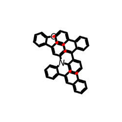 c1ccc(N(c2ccc3oc4ccccc4c3c2)c2ccccc2-c2cc3ccccc3c3ccccc23)c(-c2ccc3ccccc3c2)c1